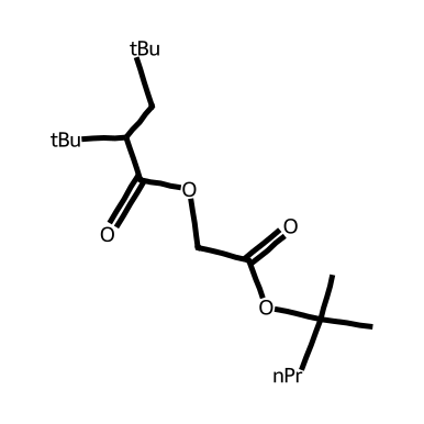 CCCC(C)(C)OC(=O)COC(=O)C(CC(C)(C)C)C(C)(C)C